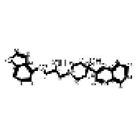 O[C@H](COc1cccc2sccc12)CN1CCC(O)(c2cnc3ccccc3c2)CC1